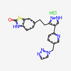 Cl.O=c1[nH]c2ccc(CCc3n[nH]cc3-c3ccc(Cn4ccnn4)cn3)cc2s1